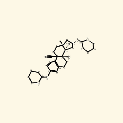 C[C@]12CCC3(C#N)c4ccc(OC5CCCCO5)cc4CC[C@H]3[C@@H]1C[C@@H](OC1CCCCO1)C2